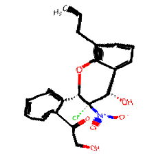 C=CCc1cccc2c1O[C@@H](c1ccccc1C(=O)CO)[C@](Cl)([N+](=O)[O-])[C@H]2O